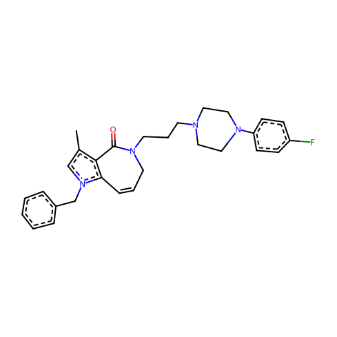 Cc1cn(Cc2ccccc2)c2c1C(=O)N(CCCN1CCN(c3ccc(F)cc3)CC1)CC=C2